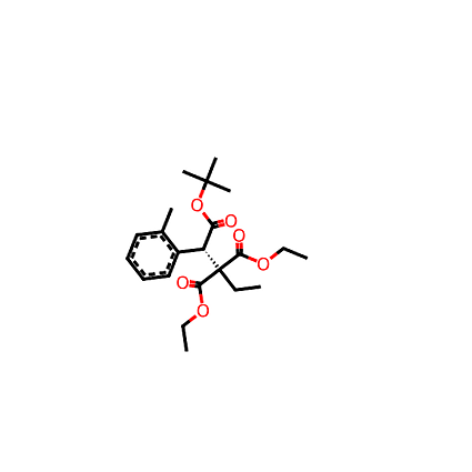 CCOC(=O)C(CC)(C(=O)OCC)[C@@H](C(=O)OC(C)(C)C)c1ccccc1C